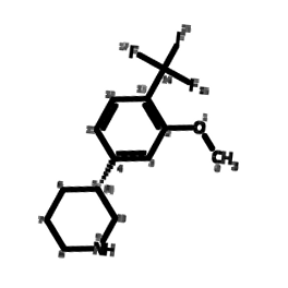 COc1cc([C@H]2CCCNC2)ccc1C(F)(F)F